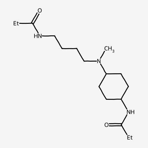 CCC(=O)NCCCCN(C)C1CCC(NC(=O)CC)CC1